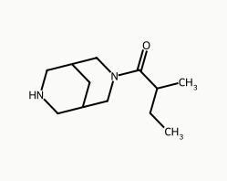 CCC(C)C(=O)N1CC2CNCC(C2)C1